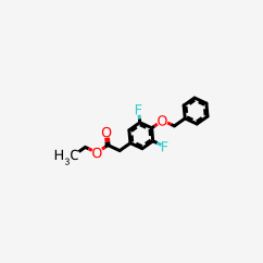 CCOC(=O)Cc1cc(F)c(OCc2ccccc2)c(F)c1